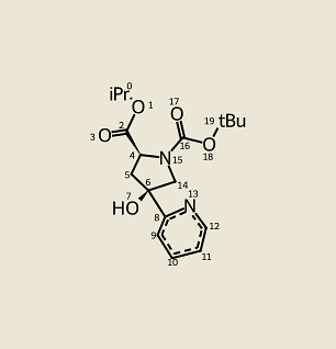 CC(C)OC(=O)[C@@H]1C[C@@](O)(c2ccccn2)CN1C(=O)OC(C)(C)C